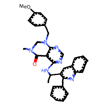 COc1ccc(CN2CN(C)C(=O)c3c(NC(C)c4cc5ccccc5nc4-c4ccccc4)ncnc32)cc1